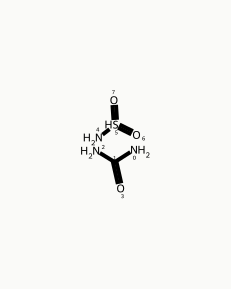 NC(N)=O.N[SH](=O)=O